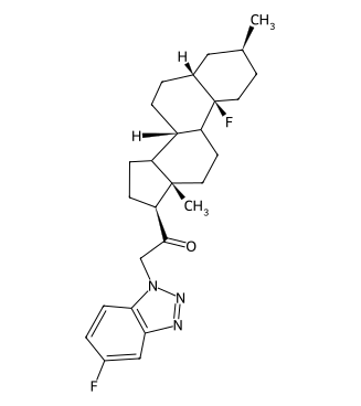 C[C@H]1CC[C@]2(F)C3CC[C@@]4(C)C(CC[C@@H]4C(=O)Cn4nnc5cc(F)ccc54)[C@@H]3CC[C@@H]2C1